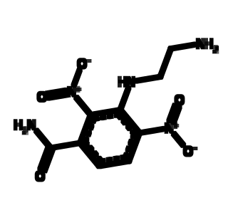 NCCNc1c([N+](=O)[O-])ccc(C(N)=O)c1[N+](=O)[O-]